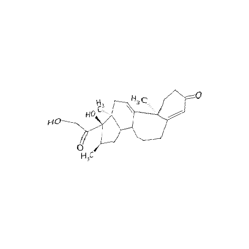 C[C@@H]1CC2C3CCC4=CC(=O)CC[C@]4(C)C3=CC[C@]2(C)[C@@]1(O)C(=O)CO